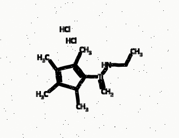 Cl.Cl.[CH2]=[Ti]([NH]CC)[C]1=C(C)C(C)=C(C)C1C